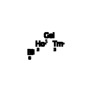 [Bi].[Ge].[Ho].[Tm]